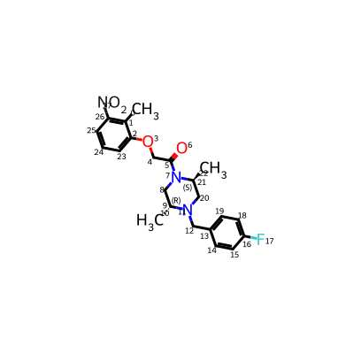 Cc1c(OCC(=O)N2C[C@@H](C)N(Cc3ccc(F)cc3)C[C@@H]2C)cccc1[N+](=O)[O-]